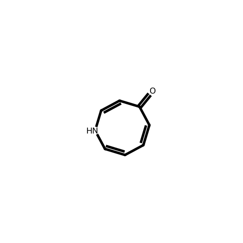 O=C1/C=C\C=C/N/C=C\1